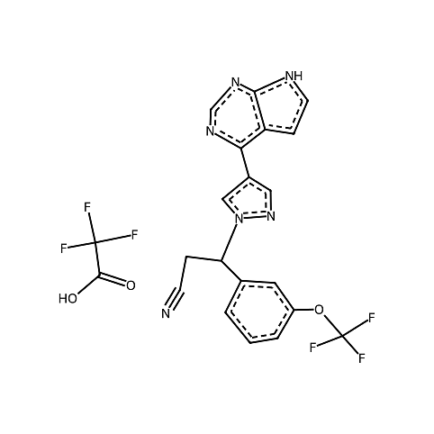 N#CCC(c1cccc(OC(F)(F)F)c1)n1cc(-c2ncnc3[nH]ccc23)cn1.O=C(O)C(F)(F)F